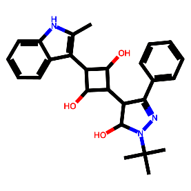 Cc1[nH]c2ccccc2c1C1C(O)C(C2C(c3ccccc3)=NN(C(C)(C)C)C2O)C1O